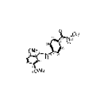 COc1ccc(OC)c(CNc2ccc(C(=O)NO)cc2)c1